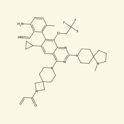 C=CC(=O)N1CC2(CCN(c3nc(N4CCC5(CCCN5C)CC4)nc4c(OCC(F)(F)F)c(-c5c(C)ccc(N)c5C=N)c(C5CC5)cc34)CC2)C1